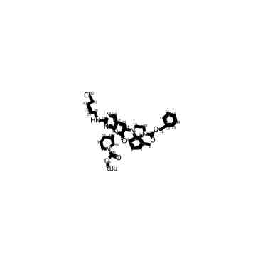 Cc1cccc2c1N(C(=O)OCc1ccccc1)CCN2c1cc2cnc(NC/C=C\CCl)nc2n(C2CCCN(C(=O)OC(C)(C)C)C2)c1=O